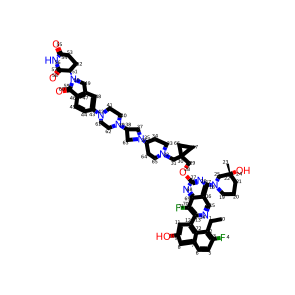 CCc1c(F)ccc2cc(O)cc(-c3ncc4c(N5CCC[C@@](C)(O)C5)nc(OCC5(CN6CCC(N7CC(N8CCN(c9ccc%10c(c9)CN([C@H]9CCC(=O)NC9=O)C%10=O)CC8)C7)CC6)CC5)nc4c3F)c12